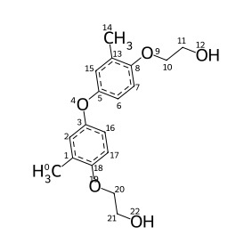 Cc1cc(Oc2ccc(OCCO)c(C)c2)ccc1OCCO